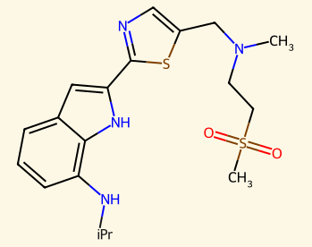 CC(C)Nc1cccc2cc(-c3ncc(CN(C)CCS(C)(=O)=O)s3)[nH]c12